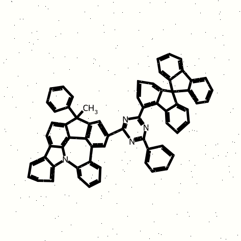 CC1(c2ccccc2)c2cc(-c3nc(-c4ccccc4)nc(-c4cccc5c4-c4ccccc4C54c5ccccc5-c5ccccc54)n3)cc3c2-c2c1ccc1c4ccccc4n(c21)-c1ccccc1-3